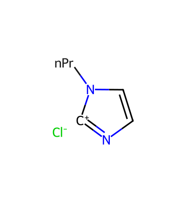 CCCN1[C+]=NC=C1.[Cl-]